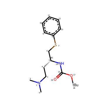 CN(C)CC[C@H](CSc1ccccc1)NC(=O)OC(C)(C)C